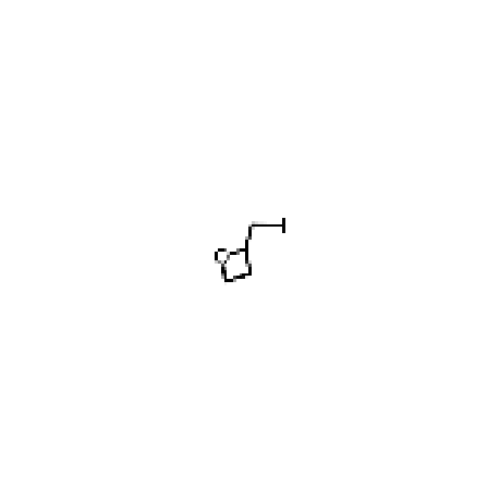 ICC1CCO1